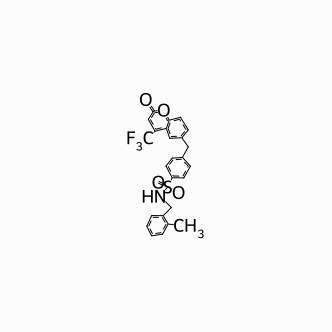 Cc1ccccc1CNS(=O)(=O)c1ccc(Cc2ccc3oc(=O)cc(C(F)(F)F)c3c2)cc1